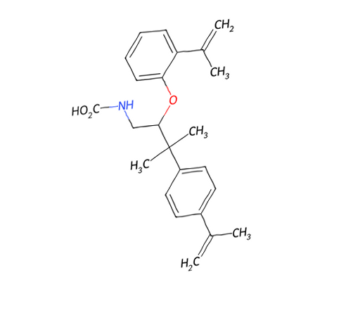 C=C(C)c1ccc(C(C)(C)C(CNC(=O)O)Oc2ccccc2C(=C)C)cc1